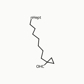 CCCCCCCCCCCCCCC1(C=O)CC1